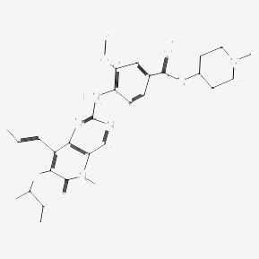 C/C=C/c1c(OC(C)CC)c(=O)n(C)c2cnc(Nc3ccc(C(=O)NC4CCN(C)CC4)cc3OC)nc12